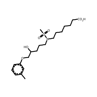 Cc1cccc(OCC(O)CCCN(CCCCCCC(=O)O)S(C)(=O)=O)c1